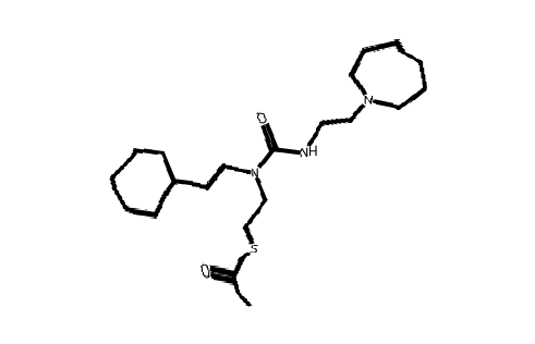 CC(=O)SCCN(CCC1CCCCC1)C(=O)NCCN1CCCCCC1